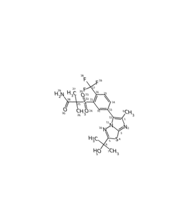 Cc1nc2sc(C(C)(C)O)nn2c1-c1ccc(C(F)(F)F)c(S(=O)(=O)C(C)(C)C(N)=O)c1